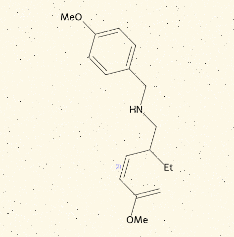 C=C(/C=C\C(CC)CNCc1ccc(OC)cc1)OC